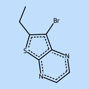 CCc1sc2nccnc2c1Br